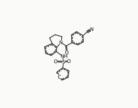 N#Cc1ccc(C(=O)N2CCCc3cccc(NS(=O)(=O)c4ccccc4)c32)cc1